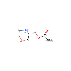 CNC(=O)OC[C@@H]1COCCN1